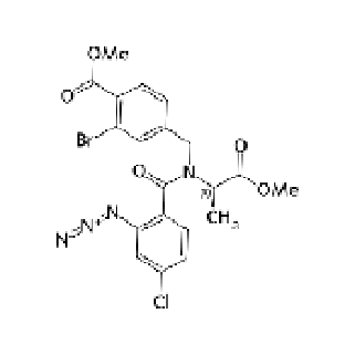 COC(=O)c1ccc(CN(C(=O)c2ccc(Cl)cc2N=[N+]=[N-])[C@H](C)C(=O)OC)cc1Br